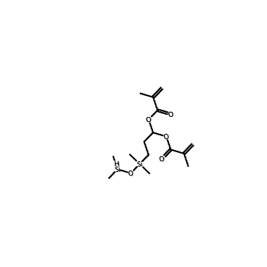 C=C(C)C(=O)OC(CC[Si](C)(C)O[SiH](C)C)OC(=O)C(=C)C